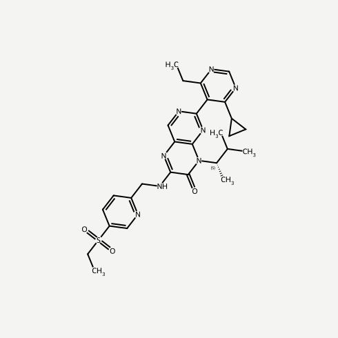 CCc1ncnc(C2CC2)c1-c1ncc2nc(NCc3ccc(S(=O)(=O)CC)cn3)c(=O)n([C@@H](C)C(C)C)c2n1